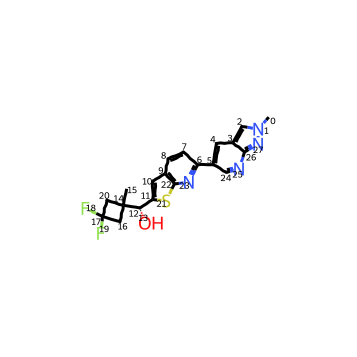 Cn1cc2cc(-c3ccc4cc([C@H](O)C5(C)CC(F)(F)C5)sc4n3)cnc2n1